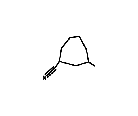 CC1CCCCC(C#N)C1